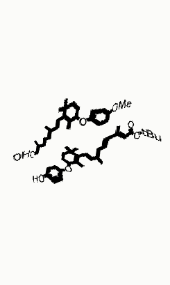 CC(C=CC1=C(C)C(Oc2ccc(O)cc2)CCC1(C)C)=CC=CC(C)=CC(=O)OC(C)(C)C.COc1ccc(OC2CCC(C)(C)C(/C=C/C(C)=C/C=C/C(C)=C/C=O)=C2C)cc1